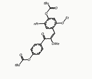 CCCc1cc(C=C(OC)C(=O)c2ccc(OC(=O)C(C)(C)C)cc2)c(OCC)cc1OC(=O)C(C)(C)C